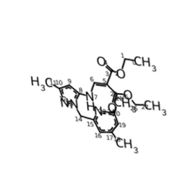 CCOC(=O)C(=CNc1cc(C)nn1Cc1cc(C)cc(C)n1)C(=O)OCC